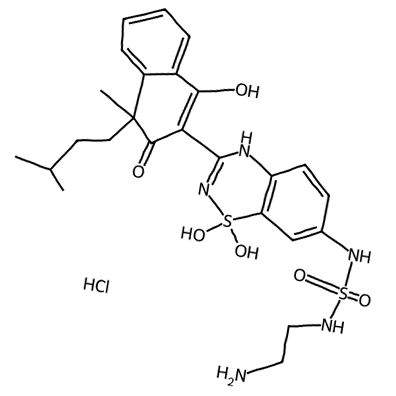 CC(C)CCC1(C)C(=O)C(C2=NS(O)(O)c3cc(NS(=O)(=O)NCCN)ccc3N2)=C(O)c2ccccc21.Cl